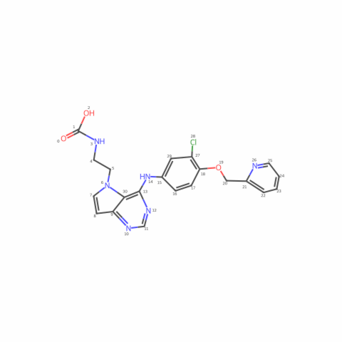 O=C(O)NCCn1ccc2ncnc(Nc3ccc(OCc4ccccn4)c(Cl)c3)c21